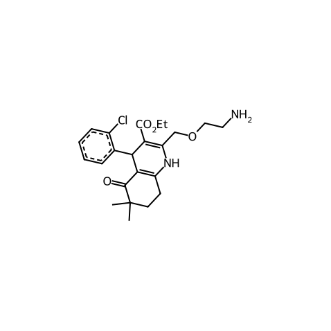 CCOC(=O)C1=C(COCCN)NC2=C(C(=O)C(C)(C)CC2)C1c1ccccc1Cl